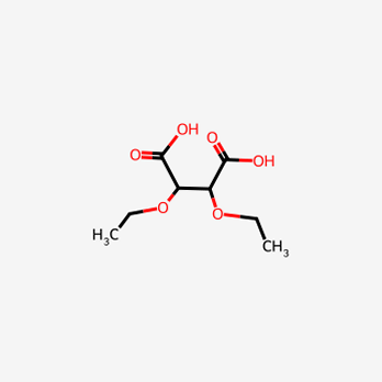 CCOC(C(=O)O)C(OCC)C(=O)O